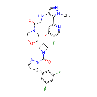 Cn1ncc(NCC(=O)N2CCOCC2)c1-c1cc(OC2CN(C(=O)N3N=CC[C@H]3c3cc(F)cc(F)c3)C2)c(F)cn1